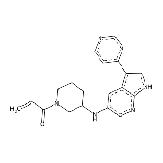 C=CC(=O)N1CCCC(Nc2cnc3[nH]cc(-c4ccncc4)c3c2)C1